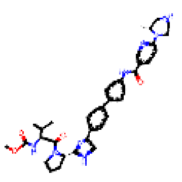 COC(=O)N[C@H](C(=O)N1CCC[C@H]1c1nc(-c2ccc(-c3ccc(NC(=O)c4ccc(N5CCNC[C@H]5C)nc4)cc3)cc2)c[nH]1)C(C)C